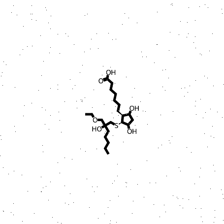 CCCCCC(O)(COCC)CS[C@H]1C(O)CC(O)[C@@H]1CCCCCCC(=O)O